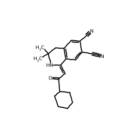 CC1(C)Cc2cc(C#N)c(C#N)cc2/C(=C/C(=O)C2CCCCC2)N1